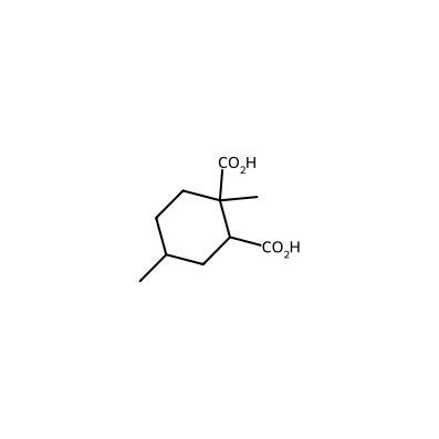 CC1CCC(C)(C(=O)O)C(C(=O)O)C1